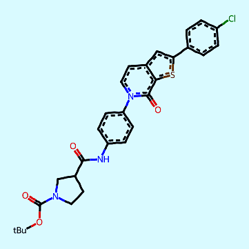 CC(C)(C)OC(=O)N1CCC(C(=O)Nc2ccc(-n3ccc4cc(-c5ccc(Cl)cc5)sc4c3=O)cc2)C1